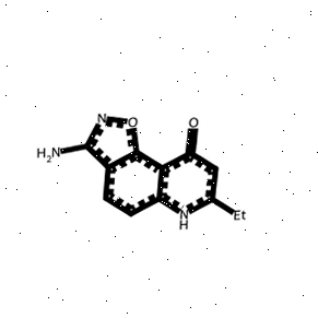 CCc1cc(=O)c2c(ccc3c(N)noc32)[nH]1